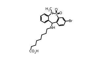 CN1c2ccccc2C(NCCCCCCCC(=O)O)c2ccc(Br)cc2S1(=O)=O